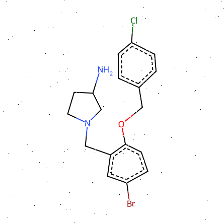 NC1CCN(Cc2cc(Br)ccc2OCc2ccc(Cl)cc2)C1